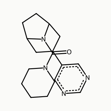 O=C(N1CCCCC1)N1C2CCC1CC(c1cncnc1)C2